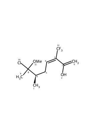 C=C(O)/C(=C\C[C@@H](C)C(C)(Cl)OC)C(F)(F)F